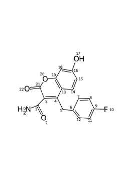 NC(=O)c1c(Cc2ccc(F)cc2)c2ccc(O)cc2oc1=O